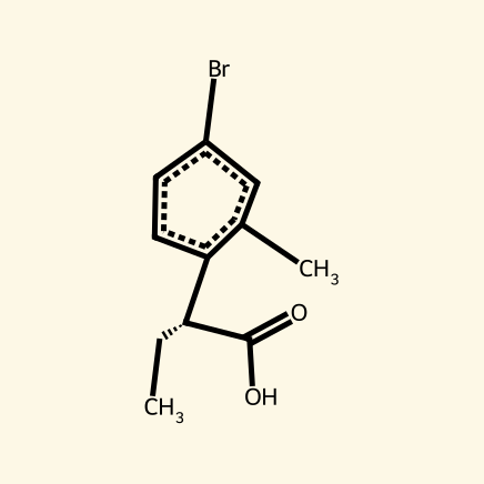 CC[C@@H](C(=O)O)c1ccc(Br)cc1C